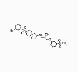 CS(=O)(=O)c1cccc(OCC(O)CNC2COC3(CCN(S(=O)(=O)c4cccc(Br)c4)CC3)C2)c1